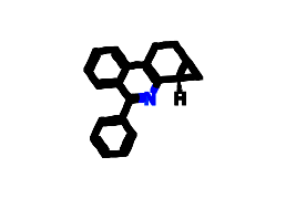 c1ccc(-c2nc3c(c4ccccc24)CCC2C[C@@H]32)cc1